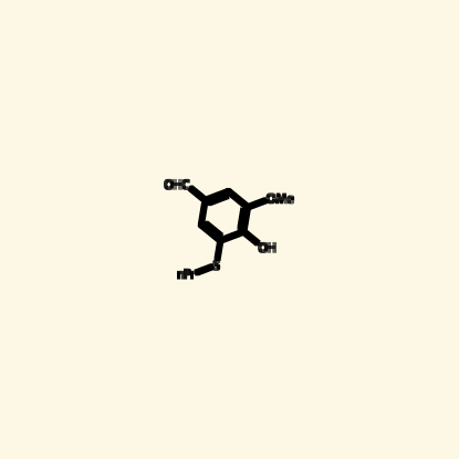 CCCSc1cc(C=O)cc(OC)c1O